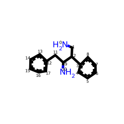 NCC(c1ccccc1)C(N)Cc1ccccc1